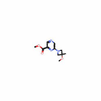 COC(=O)c1cncc(N2CC(C)(OC)C2)n1